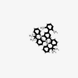 Cc1cccc(C)c1-c1cc2c3c(c1)N1c4ccccc4C(C)(C)c4cccc(c41)B3N1c3ccccc3C(C)(C)c3cccc-2c31